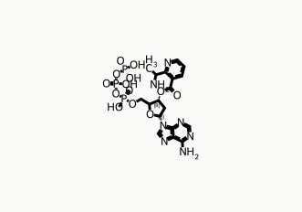 CC(N)c1ncccc1C(=O)O[C@@H]1C[C@H](n2cnc3c(N)ncnc32)OC1COP(=O)(O)OP(=O)(O)OP(=O)(O)O